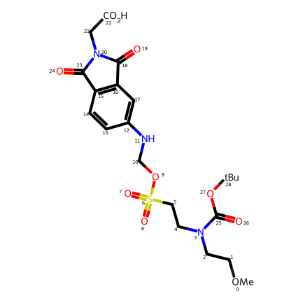 COCCN(CCS(=O)(=O)OCNc1ccc2c(c1)C(=O)N(CC(=O)O)C2=O)C(=O)OC(C)(C)C